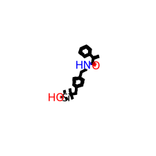 C=C(C(=O)NCCc1ccc(CC(C)(C)[Si](C)(C)O)cc1)c1ccccc1